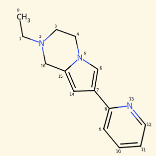 CCN1CCn2cc(-c3ccccn3)cc2C1